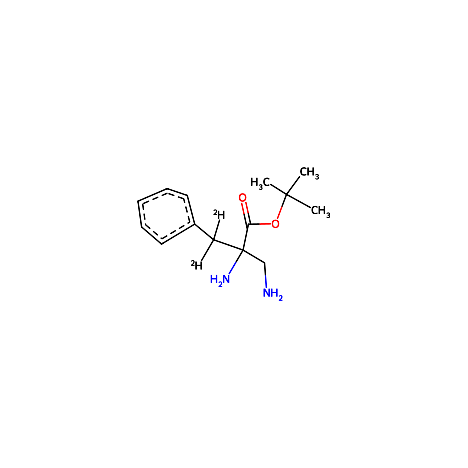 [2H]C([2H])(c1ccccc1)C(N)(CN)C(=O)OC(C)(C)C